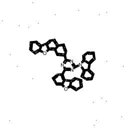 c1ccc2c(c1)oc1c3cc(-c4nc(-c5cccc6oc7ccccc7c56)nc(-n5c6ccccc6c6ccccc65)n4)ccc3ccc21